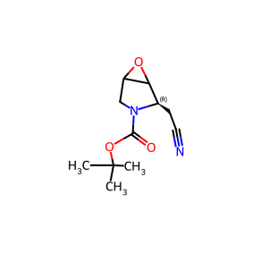 CC(C)(C)OC(=O)N1CC2OC2[C@H]1CC#N